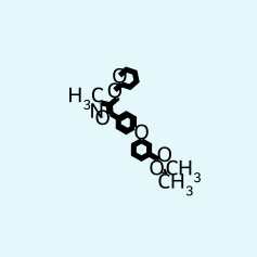 Cc1noc(-c2ccc(OC3CCCC(C(=O)OC(C)C)C3)cc2)c1COC1CCCCO1